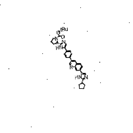 CC(C)(C)OC(=O)N1CCC[C@H]1c1ncc(-c2ccc(-c3cnc4cc(-c5cnc(C6CCCC6)[nH]5)ccc4c3)cc2)[nH]1